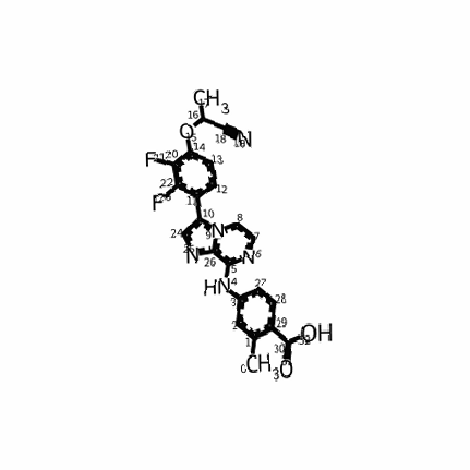 Cc1cc(Nc2nccn3c(-c4ccc(OC(C)C#N)c(F)c4F)cnc23)ccc1C(=O)O